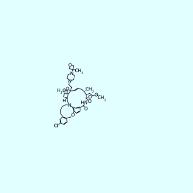 COCC[C@@H]1[C@@H](C)C/C=C/[C@@](CCN2CCN(C3(C)COC3)CC2)(OC)[C@@H]2CC[C@H]2CN2CCCCc3cc(Cl)ccc3COc3ccc(cc32)C(=O)NS1(=O)=O